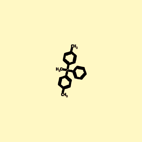 Cc1ccc([Si](C)(c2ccccc2)c2ccc(C)cc2)cc1